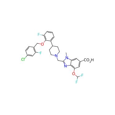 Cn1c(CN2CCC(c3cccc(F)c3OCc3ccc(Cl)cc3F)CC2)nc2c(OC(F)F)cc(C(=O)O)cc21